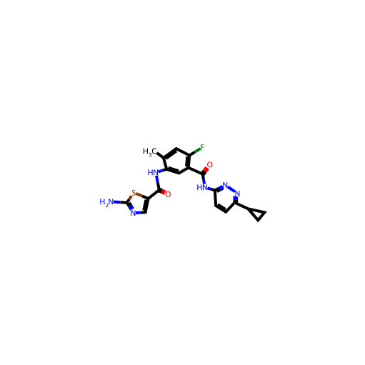 Cc1cc(F)c(C(=O)Nc2ccc(C3CC3)nn2)cc1NC(=O)c1cnc(N)s1